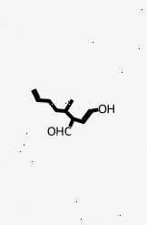 C=CCCC(C)C(C=O)C=CO